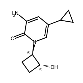 Nc1cc(C2CC2)cn([C@@H]2CC[C@H]2O)c1=O